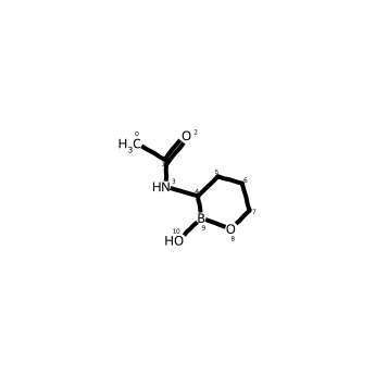 CC(=O)NC1CCCOB1O